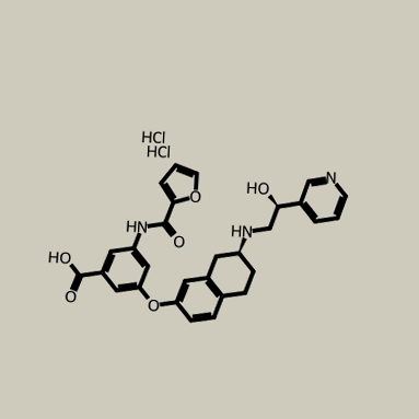 Cl.Cl.O=C(O)c1cc(NC(=O)c2ccco2)cc(Oc2ccc3c(c2)C[C@@H](NC[C@@H](O)c2cccnc2)CC3)c1